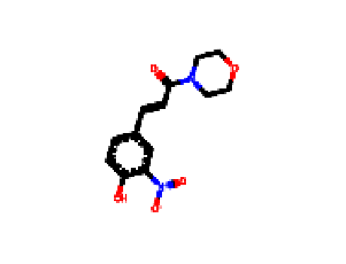 O=C(C=Cc1ccc(O)c([N+](=O)[O-])c1)N1CCOCC1